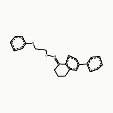 [c]1cccc(OCCON=C2CCCc3cc(-c4ccccc4)ccc32)c1